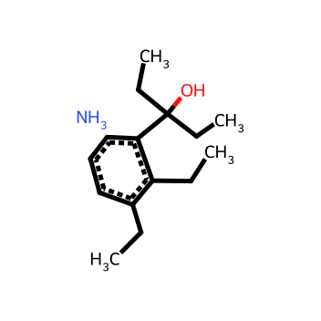 CCc1cccc(C(O)(CC)CC)c1CC.N